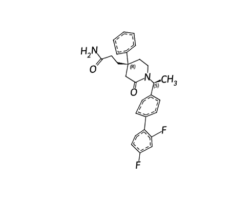 C[C@@H](c1ccc(-c2ccc(F)cc2F)cc1)N1CC[C@@](CCC(N)=O)(c2ccccc2)CC1=O